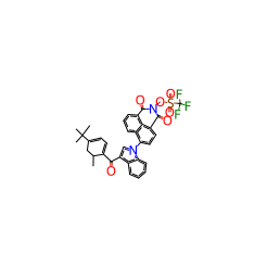 CC1CC(C(C)(C)C)=CC=C1C(=O)c1cn(-c2ccc3c4c(cccc24)C(=O)N(OS(=O)(=O)C(F)(F)F)C3=O)c2ccccc12